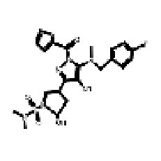 CN(Cc1ccc(F)cc1)c1c(C#N)c(C2CC(O)N(S(=O)(=O)N(C)C)C2)nn1C(=O)c1cccs1